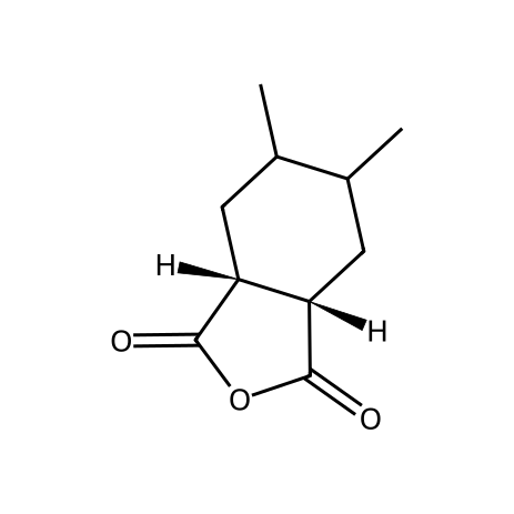 CC1C[C@@H]2C(=O)OC(=O)[C@@H]2CC1C